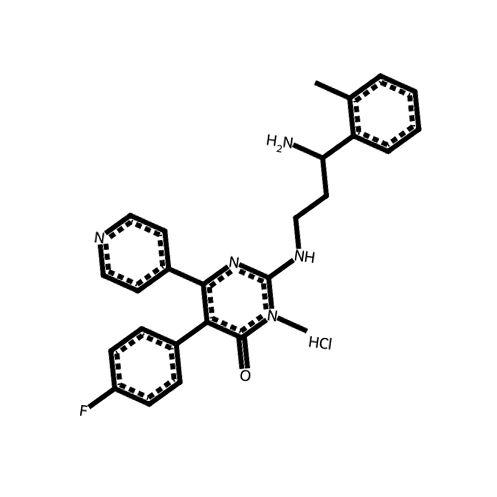 Cc1ccccc1C(N)CCNc1nc(-c2ccncc2)c(-c2ccc(F)cc2)c(=O)n1C.Cl